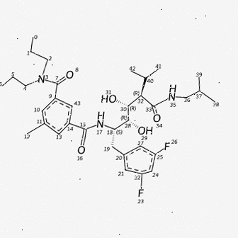 CCCN(CCC)C(=O)c1cc(C)cc(C(=O)N[C@@H](Cc2cc(F)cc(F)c2)[C@@H](O)[C@H](O)[C@H](C(=O)NCC(C)C)C(C)C)c1